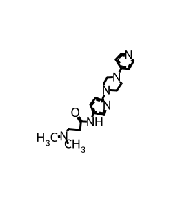 CN(C)CCC(=O)Nc1ccc(N2CCN(c3ccncc3)CC2)nc1